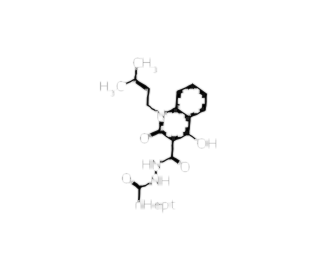 CCCCCCCC(=O)NNC(=O)c1c(O)c2ccccc2n(CC=C(C)C)c1=O